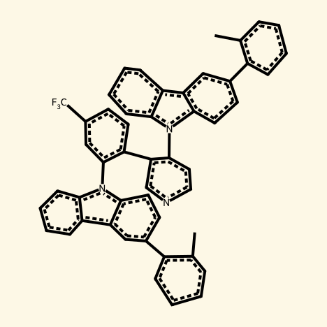 Cc1ccccc1-c1ccc2c(c1)c1ccccc1n2-c1ccncc1-c1ccc(C(F)(F)F)cc1-n1c2ccccc2c2cc(-c3ccccc3C)ccc21